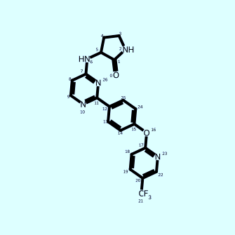 O=C1NCCC1Nc1ccnc(-c2ccc(Oc3ccc(C(F)(F)F)cn3)cc2)n1